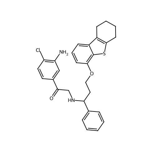 Nc1cc(C(=O)CNC(CCOc2cccc3c4c(sc23)CCCC4)c2ccccc2)ccc1Cl